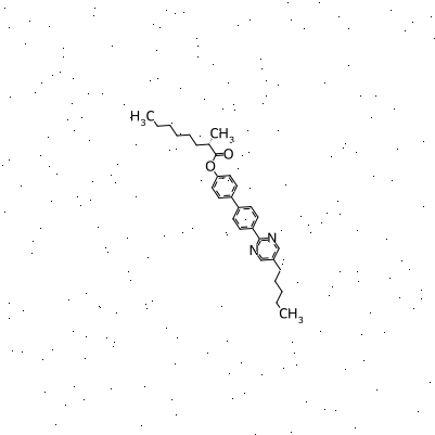 CCCCCC[C@H](C)C(=O)Oc1ccc(-c2ccc(-c3ncc(CCCCC)cn3)cc2)cc1